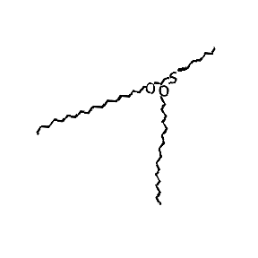 CCCCCC=CSCC(COCCCCCCCCCCCCCCCCCC)OCCCCCCCCCCCCCCCCCC